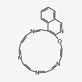 c1cnccnccnccoc2ncc3ccccc3c2cnc1